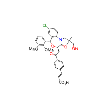 COc1cccc([C@H]2O[C@H](CC(=O)c3ccc(/C=C/C(=O)O)cc3)C(=O)N(CC(C)(C)CO)c3ccc(Cl)cc32)c1OC